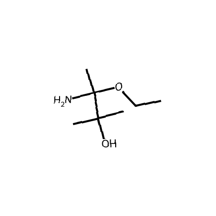 CCOC(C)(N)C(C)(C)O